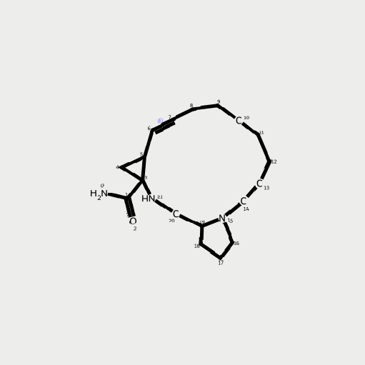 NC(=O)C12CC1/C=C/CCCCCCCN1CCCC1CN2